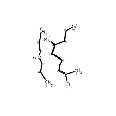 CC(C)=CCCC(C)CCO.CCCOCCC